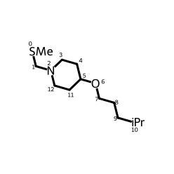 CSCN1CCC(OCCCC(C)C)CC1